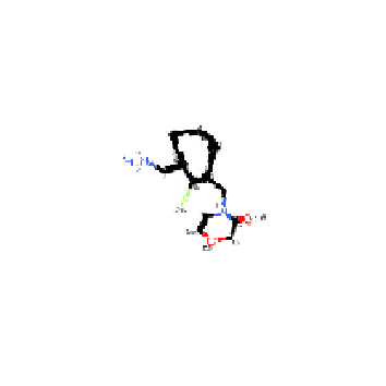 NCc1cccc(CN2CCOCC2=O)c1F